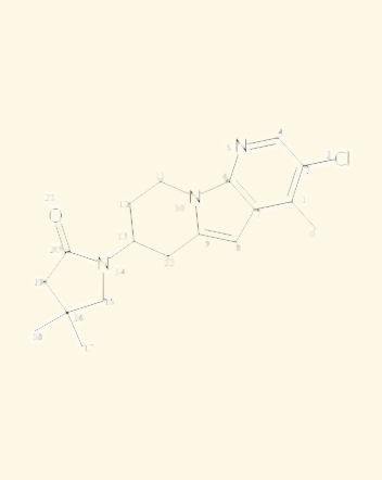 Cc1c(Cl)cnc2c1cc1n2CCC(N2CC(C)(C)CC2=O)C1